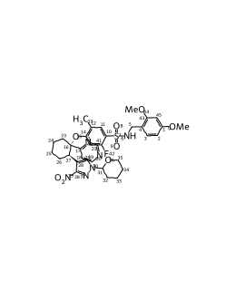 COc1ccc(CNS(=O)(=O)c2cc(C)c(O[C@@]3(c4ccncn4)CCCC[C@@H]3c3cn(C4CCCCO4)nc3[N+](=O)[O-])cc2F)c(OC)c1